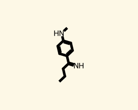 CCCC(=N)c1ccc(NC)cc1